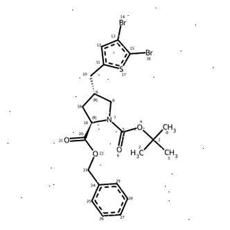 CC(C)(C)OC(=O)N1C[C@@H](Cc2cc(Br)c(Br)s2)C[C@@H]1C(=O)OCc1ccccc1